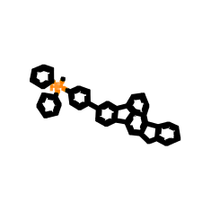 C[PH](c1ccccc1)(c1ccccc1)c1ccc(-c2ccc3c(c2)-c2cccc4c5c(cc-3c24)Cc2ccccc2-5)cc1